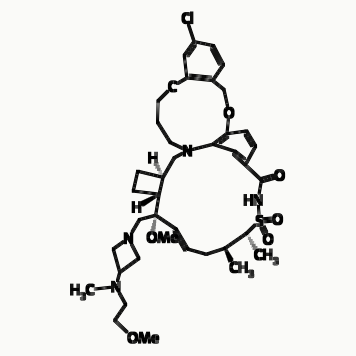 COCCN(C)C1CN(C[C@]2(OC)/C=C/C[C@H](C)[C@@H](C)S(=O)(=O)NC(=O)c3ccc4c(c3)N(CCCCc3cc(Cl)ccc3CO4)C[C@@H]3CC[C@H]32)C1